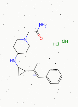 C/C(=C\c1ccccc1)C1CC1NC1CCN(CC(N)=O)CC1.Cl.Cl